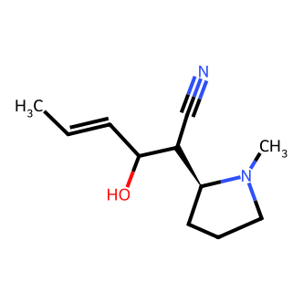 C/C=C/C(O)C(C#N)[C@@H]1CCCN1C